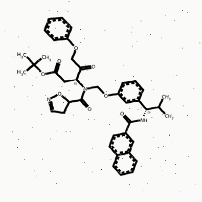 CC(C)[C@H](NC(=O)c1ccc2ccccc2c1)c1cccc(OCN(C(=O)C2CC=NO2)[C@@H](CC(=O)OC(C)(C)C)C(=O)COc2ccccc2)c1